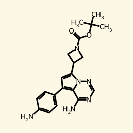 CC(C)(C)OC(=O)N1CC(c2cc(-c3ccc(N)cc3)c3c(N)ncnn23)C1